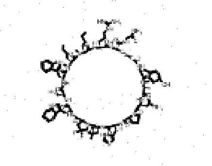 CCCC[C@H]1C(=O)N(C)[C@@H](CCCC)C(=O)N[C@@H](CCCNC(=N)N)C(=O)N[C@H](C(=O)NCC(N)=O)CSCC(=O)N[C@@H](Cc2ccc(O)cc2)C(=O)N(C)[C@@H](C)C(=O)N[C@@H](CC(N)=O)C(=O)N2CCC[C@H]2C(=O)N[C@@H](Cc2cnc[nH]2)C(=O)N[C@@H](CC(C)C)C(=O)N2CC(F)(F)C[C@H]2C(=O)N[C@@H](Cc2c[nH]c3ccccc23)C(=O)N[C@@H](CO)C(=O)N[C@@H](Cc2c[nH]c3ccccc23)C(=O)N1C